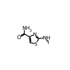 NC(=O)c1csc(NI)n1